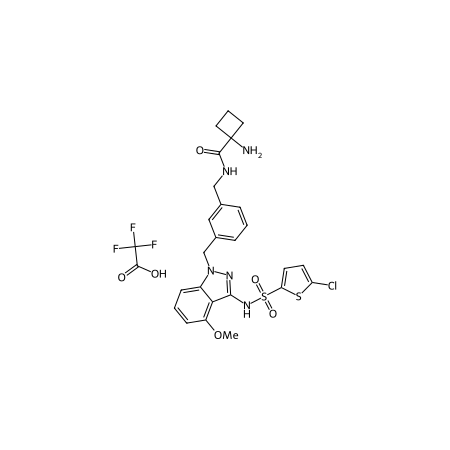 COc1cccc2c1c(NS(=O)(=O)c1ccc(Cl)s1)nn2Cc1cccc(CNC(=O)C2(N)CCC2)c1.O=C(O)C(F)(F)F